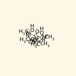 Cn1nc(C(C)(C)C)c(C2=C([O-])/C(=C3\C(C(C)(C)C)=N[N+](C)=C3O)C2=O)c1O